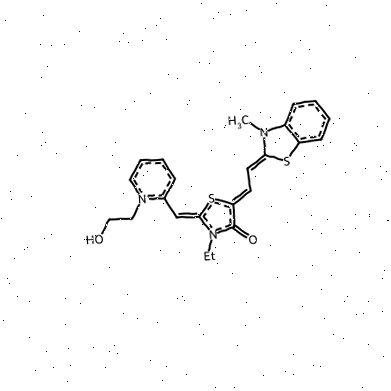 CCn1c(=O)/c(=C/C=C2\Sc3ccccc3N2C)s/c1=C\c1cccc[n+]1CCO